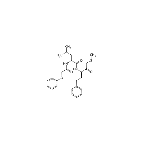 CSCC(=O)C(CCc1ccccc1)NC(=O)C(CC(C)C)NC(=O)COc1ccccc1